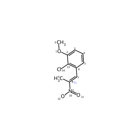 COc1cccc(/C=C(\C)[N+](=O)[O-])c1Cl